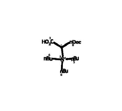 CCCCCCCCCCC(C(=O)O)[N+](CCCC)(CCCC)CCCC